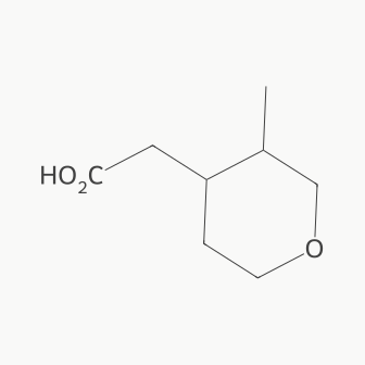 CC1COCCC1CC(=O)O